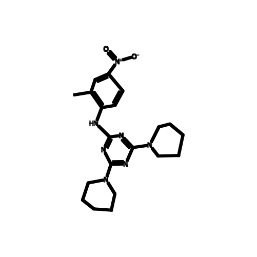 Cc1cc([N+](=O)[O-])ccc1Nc1nc(N2CCCCC2)nc(N2CCCCC2)n1